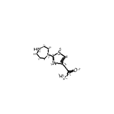 CC(=O)c1csc(N2CCCNCC2)n1